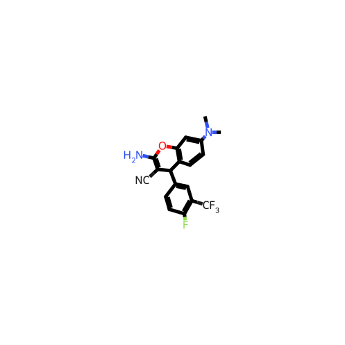 CN(C)c1ccc2c(c1)OC(N)=C(C#N)C2c1ccc(F)c(C(F)(F)F)c1